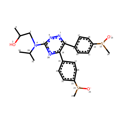 CC(O)CN(c1nnc(-c2ccc([S+](C)[O-])cc2)c(-c2ccc([S+](C)[O-])cc2)n1)C(C)C